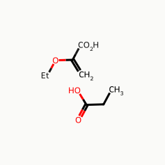 C=C(OCC)C(=O)O.CCC(=O)O